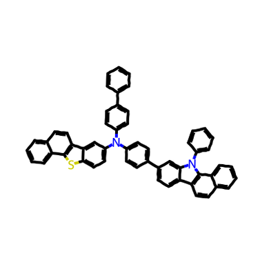 c1ccc(-c2ccc(N(c3ccc(-c4ccc5c6ccc7ccccc7c6n(-c6ccccc6)c5c4)cc3)c3ccc4sc5c6ccccc6ccc5c4c3)cc2)cc1